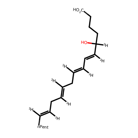 [2H]C(=CC([2H])=C([2H])CC([2H])=C([2H])CC([2H])=C([2H])CCCCC)C([2H])(O)CCCC(=O)O